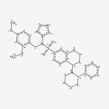 COc1ccc(CN(c2ncns2)S(=O)(=O)c2ccc3c(c2)OCCC3N2CCCCC2c2ccccc2)c(OC)c1